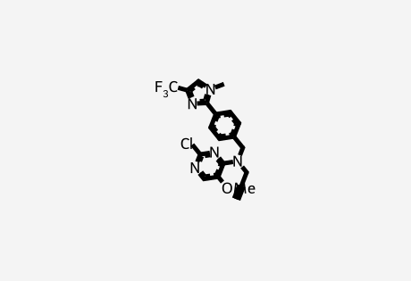 C#CCN(Cc1ccc(-c2nc(C(F)(F)F)cn2C)cc1)c1nc(Cl)ncc1OC